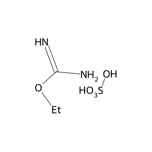 CCOC(=N)N.O=S(=O)(O)O